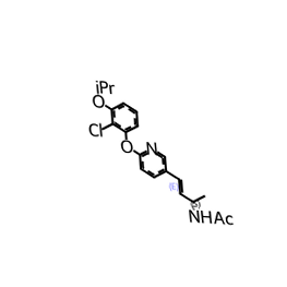 CC(=O)N[C@@H](C)/C=C/c1ccc(Oc2cccc(OC(C)C)c2Cl)nc1